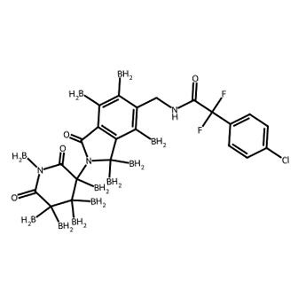 Bc1c(B)c2c(c(B)c1CNC(=O)C(F)(F)c1ccc(Cl)cc1)C(B)(B)N(C1(B)C(=O)N(B)C(=O)C(B)(B)C1(B)B)C2=O